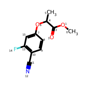 COC(=O)C(C)Oc1ccc(C#N)c(F)c1